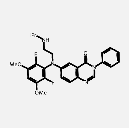 COc1cc(OC)c(F)c(N(CCNC(C)C)c2ccc3ncn(-c4ccccc4)c(=O)c3c2)c1F